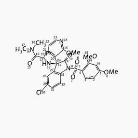 COc1ccc(S(=O)(=O)N2C(=O)[C@@](NC(C(=O)N(C)C)C(C)C)(c3cccnc3OC)c3cc(Cl)ccc32)c(OC)c1